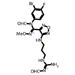 CO/N=C(/c1nonc1NCCCN/C(N)=N\C=O)N(C=O)c1ccc(F)c(Br)c1